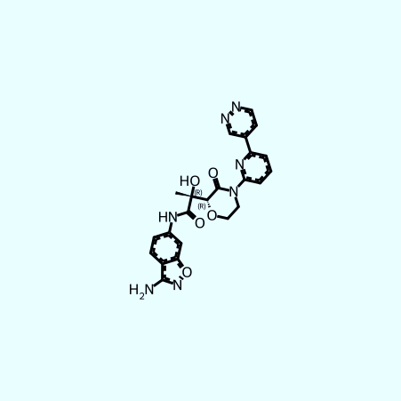 C[C@](O)(C(=O)Nc1ccc2c(N)noc2c1)[C@H]1OCCN(c2cccc(-c3ccnnc3)n2)C1=O